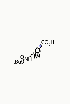 CC(C)(C)OC(=O)NCCCn1nnc2cc(/C=C/C(=O)O)ccc21